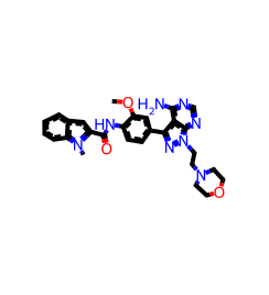 COc1cc(-c2nn(CCN3CCOCC3)c3ncnc(N)c23)ccc1NC(=O)c1cc2ccccc2n1C